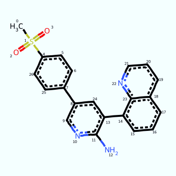 CS(=O)(=O)c1ccc(-c2cnc(N)c(-c3cccc4cccnc34)c2)cc1